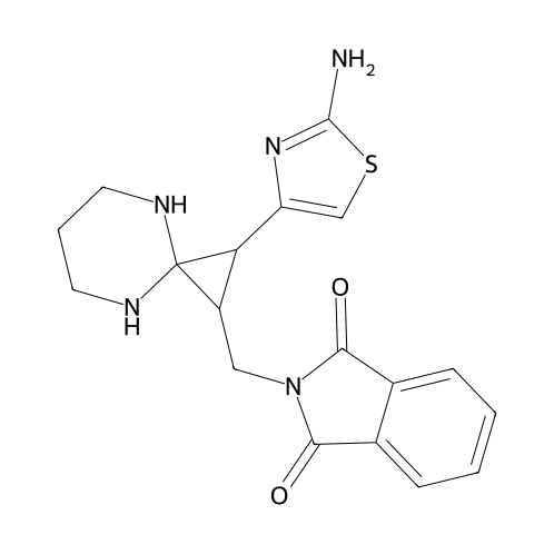 Nc1nc(C2C(CN3C(=O)c4ccccc4C3=O)C23NCCCN3)cs1